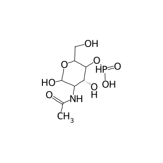 CC(=O)NC1C(O)OC(CO)C(O[PH](=O)O)[C@@H]1O